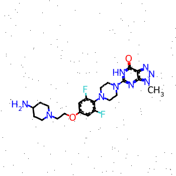 Cn1nnc2c(=O)[nH]c(N3CCN(c4c(F)cc(OCCN5CCC(N)CC5)cc4F)CC3)nc21